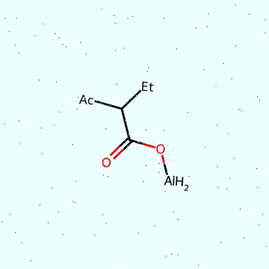 CCC(C(C)=O)C(=O)[O][AlH2]